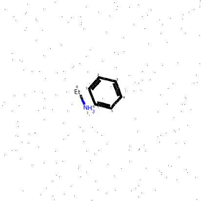 CCN.c1ccccc1